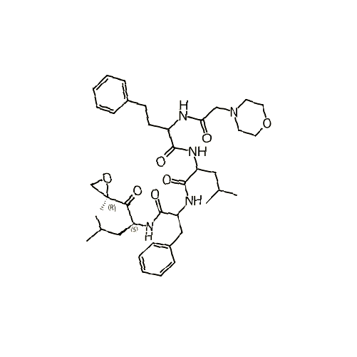 CC(C)CC(NC(=O)C(CCc1ccccc1)NC(=O)CN1CCOCC1)C(=O)NC(Cc1ccccc1)C(=O)N[C@@H](CC(C)C)C(=O)[C@@]1(C)CO1